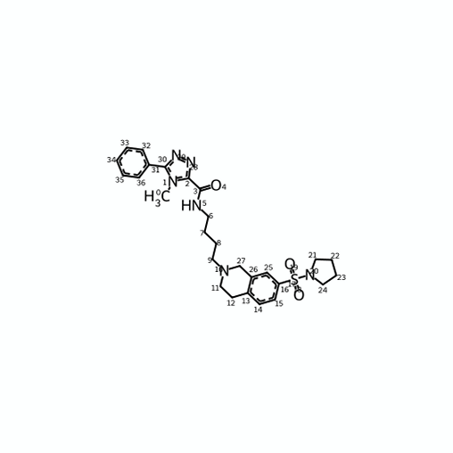 Cn1c(C(=O)NCCCCN2CCc3ccc(S(=O)(=O)N4CCCC4)cc3C2)nnc1-c1ccccc1